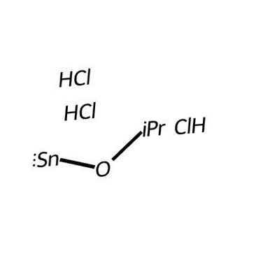 CC(C)[O][Sn].Cl.Cl.Cl